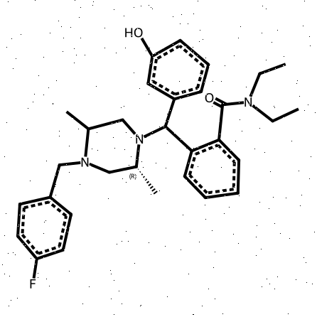 CCN(CC)C(=O)c1ccccc1C(c1cccc(O)c1)N1CC(C)N(Cc2ccc(F)cc2)C[C@H]1C